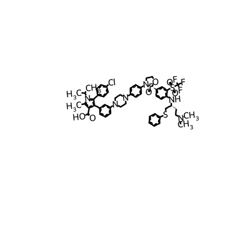 Cc1c(C(=O)O)c(-c2cccc(N3CCN(c4ccc(N5CCO[P@@]5(=O)c5ccc(N[C@H](CCN(C)C)CSc6ccccc6)c(S(=O)(=O)C(F)(F)F)c5)cc4)CC3)c2)c(-c2ccc(Cl)cc2)n1C(C)C